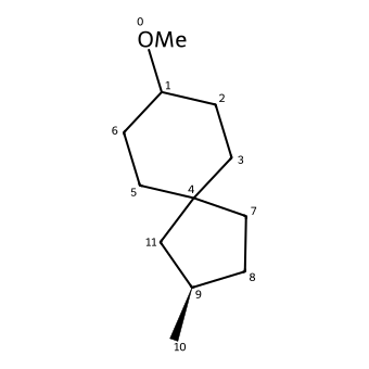 COC1CCC2(CC1)CC[C@@H](C)C2